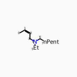 C/C=C\CN(CC)CCCCCC